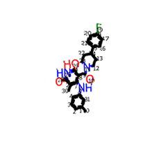 Cc1cccc(Nc2c(C(=O)N3CCC(c4ccc(F)cc4)CC3)c(O)[nH]c(=O)c2C)c1